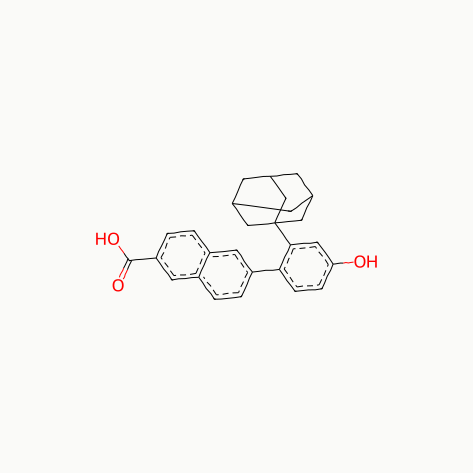 O=C(O)c1ccc2cc(-c3ccc(O)cc3C34CC5CC(CC(C5)C3)C4)ccc2c1